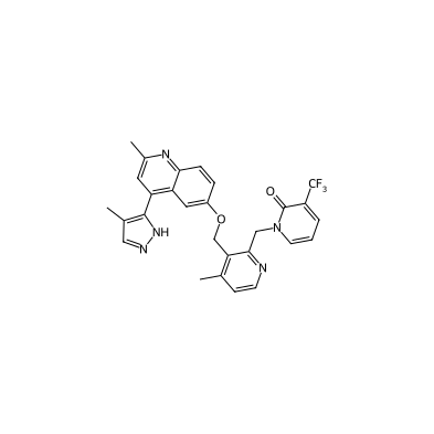 Cc1cc(-c2[nH]ncc2C)c2cc(OCc3c(C)ccnc3Cn3cccc(C(F)(F)F)c3=O)ccc2n1